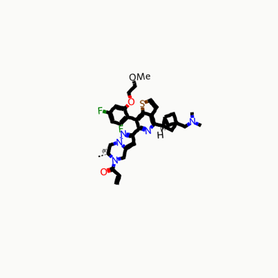 C=CC(=O)N1Cc2cc(-c3nc([C@@H]4CC5(CN(C)C)CC4C5)c4ccsc4c3-c3c(F)cc(F)cc3OCCOC)nn2C[C@H]1C